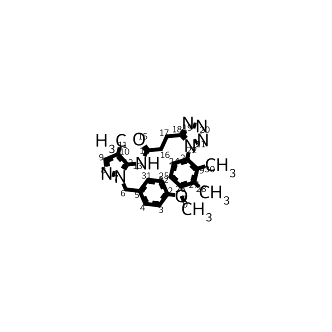 COc1ccc(Cn2ncc(C)c2NC(=O)CCc2nnnn2-c2cccc(C)c2C)cc1